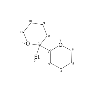 CCC1([C]2CCCCO2)CCCCO1